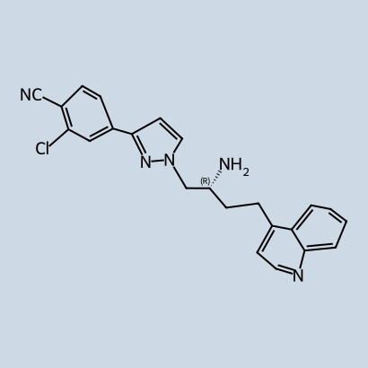 N#Cc1ccc(-c2ccn(C[C@H](N)CCc3ccnc4ccccc34)n2)cc1Cl